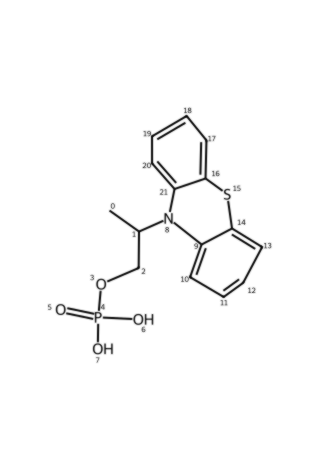 CC(COP(=O)(O)O)N1c2ccccc2Sc2ccccc21